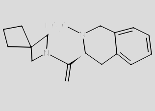 O=C([C@@H]1Cc2ccccc2CN1C(=O)O)N1CC2(CCC2)C1